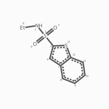 CCNS(=O)(=O)c1cc2ccccc2s1